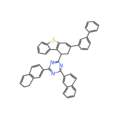 C1=Cc2ccc(-c3nc(-c4ccc5ccccc5c4)nc(C4CC(c5cccc(-c6ccccc6)c5)=Cc5sc6ccccc6c54)n3)cc2CC1